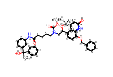 CC(C)(C)OC(=O)N(CCCCC(=O)Nc1cccc(C(O)(C(=O)O)c2ccccc2)c1)CC(O[Si](C)(C)C(C)(C)C)c1ccc(OCc2ccccc2)c2[nH]c(=O)ccc12